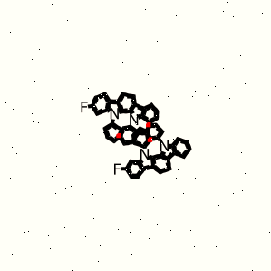 Fc1ccc2c3ccc4c5ccccc5n(-c5cccc(-c6ccccc6-n6c7ccccc7c7ccc8c9ccc(F)cc9n(-c9ccccc9)c8c76)c5)c4c3n(-c3ccccc3)c2c1